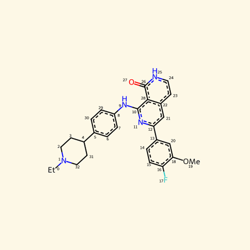 CCN1CCC(c2ccc(Nc3nc(-c4ccc(F)c(OC)c4)cc4cc[nH]c(=O)c34)cc2)CC1